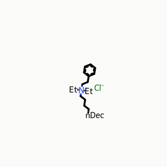 CCCCCCCCCCCCCC[N+](CC)(CC)CCc1ccccc1.[Cl-]